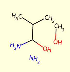 CC(C)C(N)O.CO.N